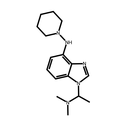 CC(N(C)C)n1cnc2c(NN3CCCCC3)cccc21